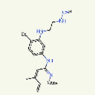 C=C/C(C)=C\C(=N/NC)Nc1ccc(CC)c(NCCNN=C)c1